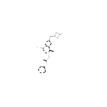 CCOC(=O)C1CC(Cc2cc3c(=O)n(CC(=O)Nc4ccnnc4)nc(C(C)C)n3n2)C1